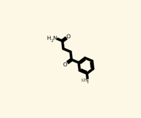 NC(=O)CCC(=O)c1cccc([125I])c1